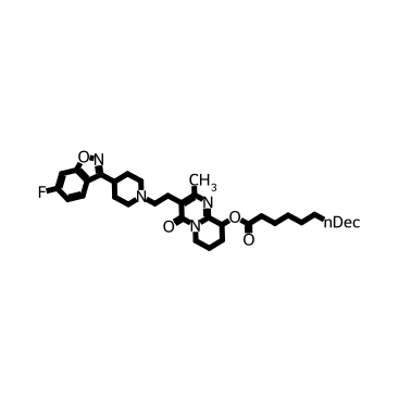 CCCCCCCCCCCCCCCC(=O)OC1CCCn2c1nc(C)c(CCN1CCC(c3noc4cc(F)ccc34)CC1)c2=O